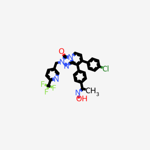 C/C(=N\O)c1ccc(-c2c(-c3ccc(Cl)cc3)ccn3c(=O)n(Cc4ccc(C(F)(F)F)nc4)nc23)cc1